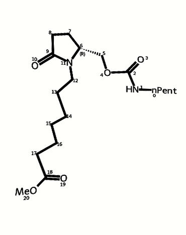 CCCCCNC(=O)OC[C@H]1CCC(=O)N1CCCCCCC(=O)OC